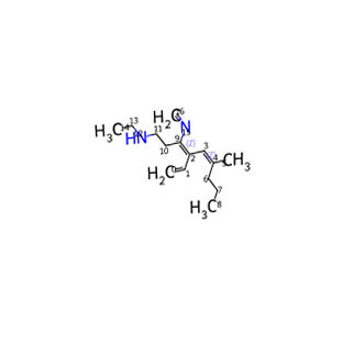 C=CC(/C=C(/C)CCC)=C(\CCNCC)N=C